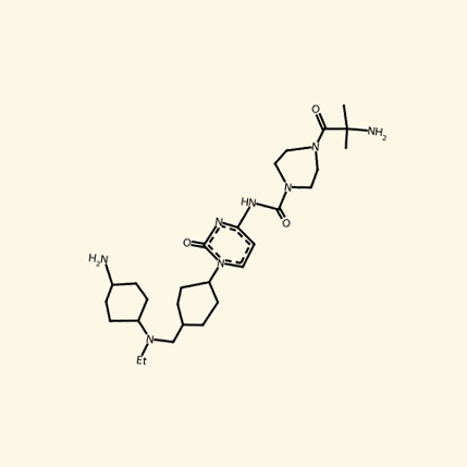 CCN(CC1CCC(n2ccc(NC(=O)N3CCN(C(=O)C(C)(C)N)CC3)nc2=O)CC1)C1CCC(N)CC1